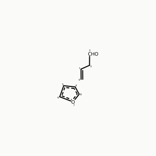 C=CCC=O.c1ccoc1